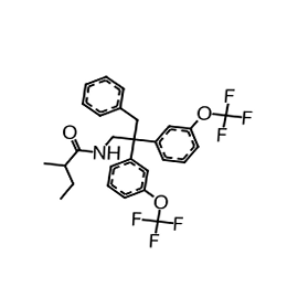 CCC(C)C(=O)NCC(Cc1ccccc1)(c1cccc(OC(F)(F)F)c1)c1cccc(OC(F)(F)F)c1